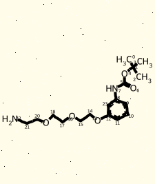 CC(C)(C)OC(=O)Nc1cccc(OCCOCCOCCN)c1